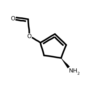 N[C@@H]1C=C=C(OC=O)C1